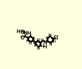 O=C(NO)c1ccc(-c2cccc(CNc3ccc(Cl)cc3)c2)cc1